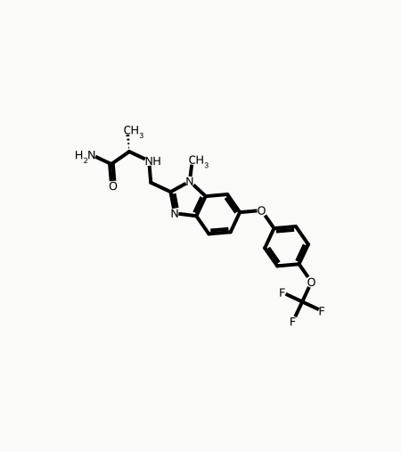 C[C@H](NCc1nc2ccc(Oc3ccc(OC(F)(F)F)cc3)cc2n1C)C(N)=O